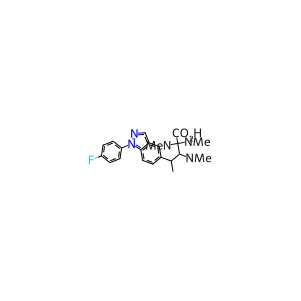 CNC(C(C)c1ccc2c(cnn2-c2ccc(F)cc2)c1)C(NC)(NC)C(=O)O